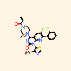 C=CC(=O)N1CCN(c2nc(=O)n(-c3scnc3C(C)C)c3nc(-c4ccccc4F)c(F)cc23)[C@@H](C)C1